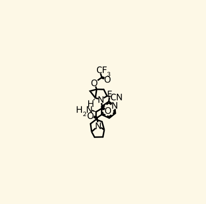 N#C[C@@H]1CC2(OC(=O)C(F)(F)F)C[C@@H]2N1C(=O)[C@H](N)C1CC2CCC(C1)N2C(=O)c1ccnc(F)c1